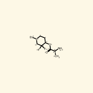 CCN1CCC(OC(=O)[C@H](C)N)C(F)(F)C1